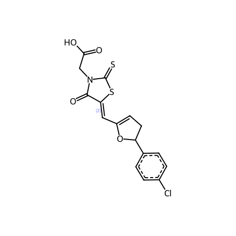 O=C(O)CN1C(=O)/C(=C/C2=CCC(c3ccc(Cl)cc3)O2)SC1=S